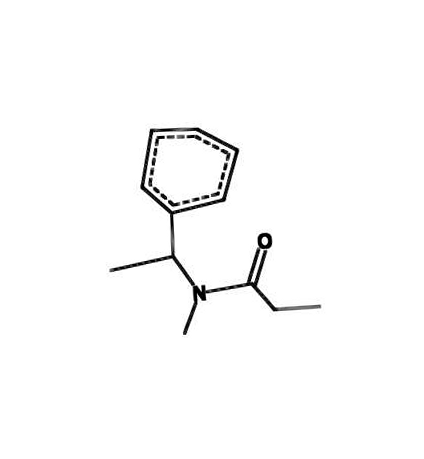 CCC(=O)N(C)C(C)c1ccccc1